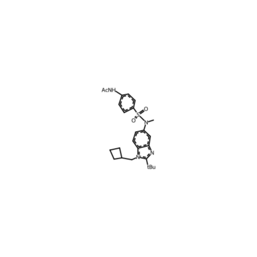 CC(=O)Nc1ccc(S(=O)(=O)N(C)c2ccc3c(c2)nc(C(C)(C)C)n3CC2CCC2)cc1